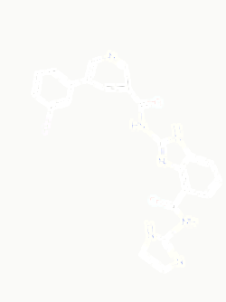 O=C(Nc1nc2c(C(=O)Nc3ncc[nH]3)cccc2[nH]1)c1cncc(-c2cccc(F)c2)c1